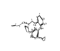 C=CCOCCSc1ccccc1Nc1nc(Cl)ncc1Cl